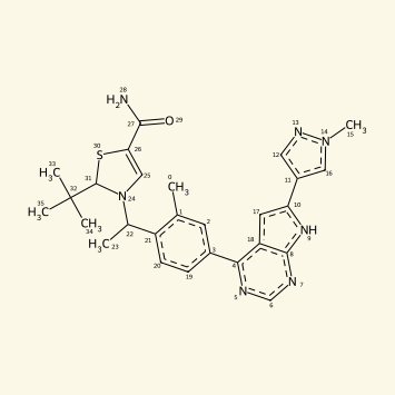 Cc1cc(-c2ncnc3[nH]c(-c4cnn(C)c4)cc23)ccc1C(C)N1C=C(C(N)=O)SC1C(C)(C)C